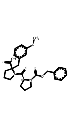 COc1cccc(CC2(C(=O)O)CCCN2C(=O)[C@@H]2CCCN2C(=O)OCc2ccccc2)c1